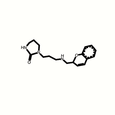 O=C1NCCCN1CCCNCC1C=Cc2ccccc2O1